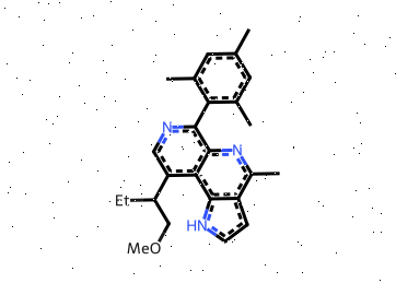 CCC(COC)c1cnc(-c2c(C)cc(C)cc2C)c2nc(C)c3cc[nH]c3c12